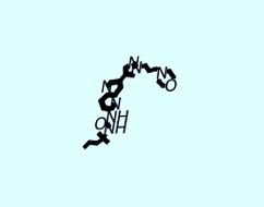 CCCC(C)(C)NC(=O)Nc1ccc2ncc(-c3cnn(CCCN4CCOCC4)c3)cc2n1